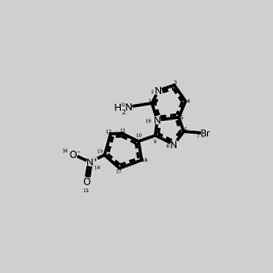 Nc1nccc2c(Br)nc(-c3ccc([N+](=O)[O-])cc3)n12